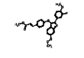 COOc1ccc2c(Oc3ccc(C=CC(=O)OC)cc3)c(-c3ccc(OC)c(F)c3)sc2c1